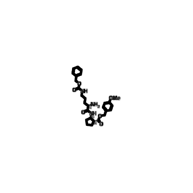 COc1ccc(COC(=O)[C@@H]2CCC[C@@H]2NC(=O)[C@@H](N)CCCNC(=O)OCc2ccccc2)cc1